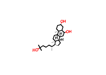 C[C@H](CCCC(C)(C)O)[C@H]1CC[C@H]2[C@@H]3CC(O)C4C[C@@H](O)CC[C@]4(C)[C@H]3CC[C@]12C